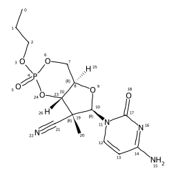 CCCOP1(=O)OC[C@H]2O[C@@H](n3ccc(N)nc3=O)[C@](C)(C#N)[C@@H]2O1